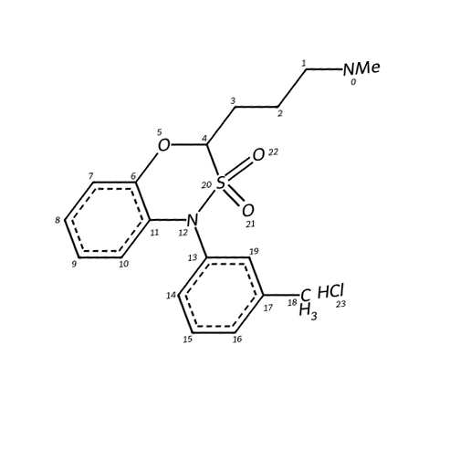 CNCCCC1Oc2ccccc2N(c2cccc(C)c2)S1(=O)=O.Cl